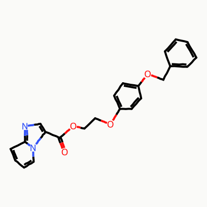 O=C(OCCOc1ccc(OCc2ccccc2)cc1)c1cnc2ccccn12